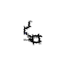 C=Cc1c(C)c2cc3nc(c4c5[nH]c(cc6nc(cc1[nH]2)C(C)=C6CC)c(C)c5C(=O)[C@@]4(O)C(=O)OC)[C@@H](CCC(=O)OC/C=C(\C)CCCC(C)CCCC(C)CCCC(C)C)[C@@H]3C